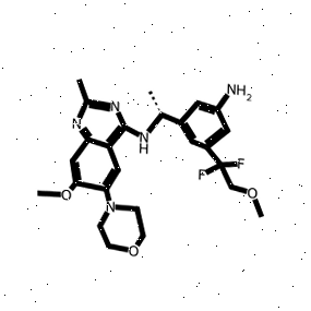 COCC(F)(F)c1cc(N)cc([C@@H](C)Nc2nc(C)nc3cc(OC)c(N4CCOCC4)cc23)c1